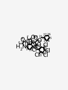 C[C@H](N)C(=O)N[C@@H](C)C(=O)N(c1ccccc1)[C@@H](C(=O)OCc1ccccc1)C(=O)Oc1c(Cl)c(Cl)c(Cl)c(Cl)c1Cl